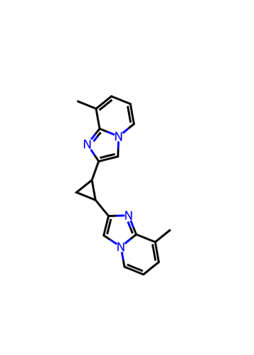 Cc1cccn2cc(C3CC3c3cn4cccc(C)c4n3)nc12